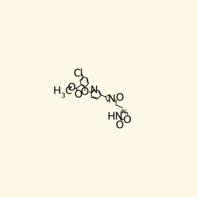 COC(=O)c1cc(Cl)ccc1Oc1ccc(C2CN(C(=O)CC[C@@H]3COC(=O)N3)C2)cn1